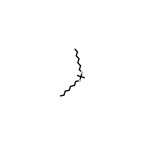 CCCCCCCOC(C)(C)OCCCCCCC